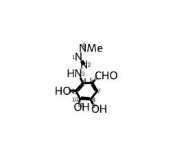 CNN=NNc1c(C=O)cc(O)c(O)c1O